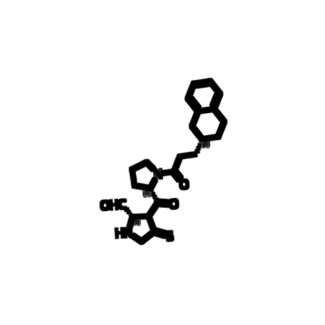 O=C[C@H]1NCC(=S)C1C(=O)[C@@H]1CCCN1C(=O)CC[C@H]1CCc2ccccc2C1